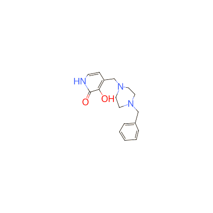 O=c1[nH]ccc(CN2CCN(Cc3ccccc3)CC2)c1O